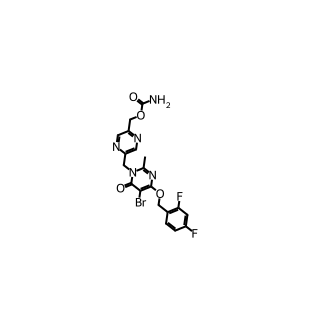 Cc1nc(OCc2ccc(F)cc2F)c(Br)c(=O)n1Cc1cnc(COC(N)=O)cn1